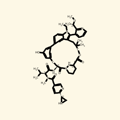 CCn1c(-c2cccnc2[C@H](C)OC)c2c3cc(ccc31)-c1cc(O)cc(c1)C[C@H](NC(=O)[C@H](C(C)C)N(C)C(=O)c1ccc([C@@H]3CN3)nc1)C(=O)N1CCC[C@H](N1)C(=O)OCC(C)(C)C2